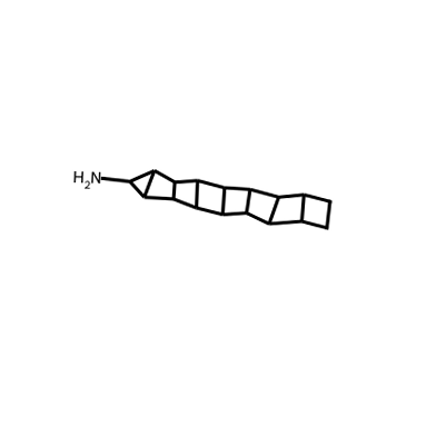 NC1C2C1C1C2C2C1C1C3C4C5CCC5C4C3C21